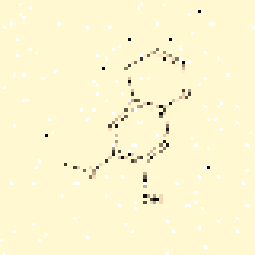 COc1cc2c(cc1O)OC=CC2